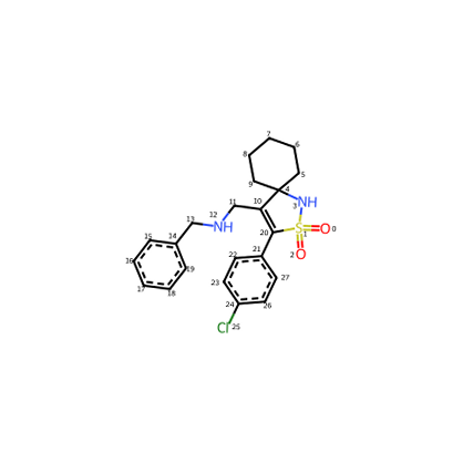 O=S1(=O)NC2(CCCCC2)C(CNCc2ccccc2)=C1c1ccc(Cl)cc1